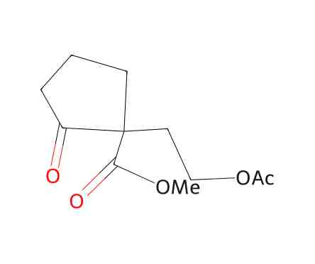 COC(=O)C1(CCOC(C)=O)CCCC1=O